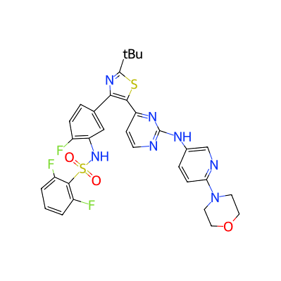 CC(C)(C)c1nc(-c2ccc(F)c(NS(=O)(=O)c3c(F)cccc3F)c2)c(-c2ccnc(Nc3ccc(N4CCOCC4)nc3)n2)s1